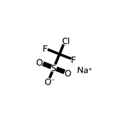 O=S(=O)([O-])C(F)(F)Cl.[Na+]